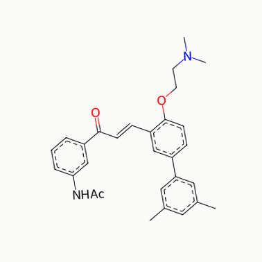 CC(=O)Nc1cccc(C(=O)C=Cc2cc(-c3cc(C)cc(C)c3)ccc2OCCN(C)C)c1